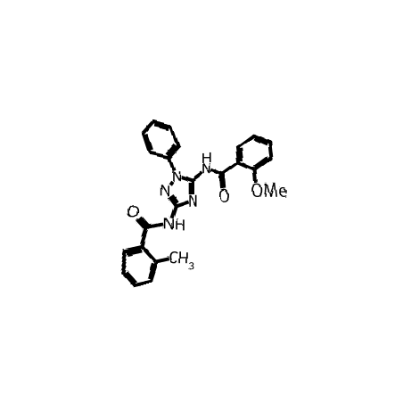 COc1ccccc1C(=O)Nc1nc(NC(=O)c2ccccc2C)nn1-c1ccccc1